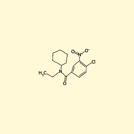 CCN(C(=O)c1ccc(Cl)c([N+](=O)[O-])c1)C1CCCCC1